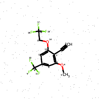 C#Cc1c(OC)cc(C(F)(F)F)cc1OCC(F)(F)F